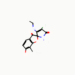 CCCCCCc1c(O)ccc2c1OC1(C2=O)C(NCC(C)C)=C(Cl)C(=O)N1C